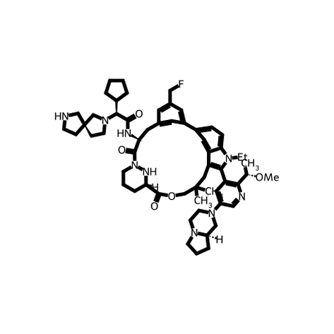 CCn1c(-c2cc(N3CCN4CCC[C@@H]4C3)cnc2[C@H](C)OC)c2c3cc(ccc31)-c1cc(CF)cc(c1)C[C@H](NC(=O)[C@H](C1CCCC1)N1CC[C@]3(CCNC3)C1)C(=O)N1CCC[C@H](N1)C(=O)OCC(C)(C)C2